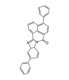 O=c1c2ccc(-c3ccccc3)c3cccc(c4n1C1C=CC(c5ccccc5)=CC1N=4)c32